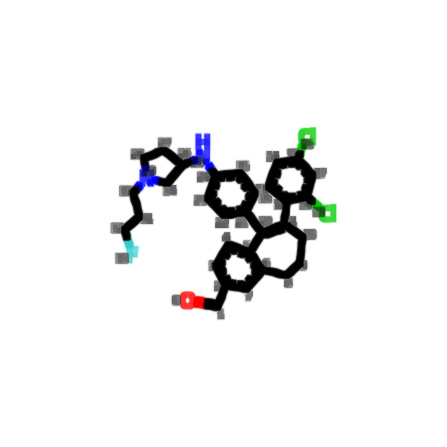 O=Cc1ccc2c(c1)CCCC(c1ccc(Cl)cc1Cl)=C2c1ccc(NC2CCN(CCCF)C2)cc1